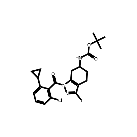 CC(C)(C)OC(=O)NC1CCc2c(I)nn(C(=O)c3c(Cl)cccc3C3CC3)c2C1